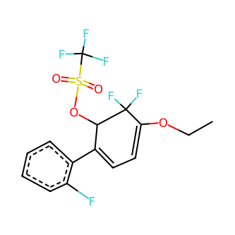 CCOC1=CC=C(c2ccccc2F)C(OS(=O)(=O)C(F)(F)F)C1(F)F